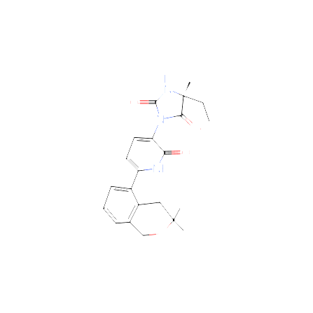 CC[C@@]1(C)NC(=O)N(c2ccc(-c3cccc4c3CC(C)(C)OC4)[nH]c2=O)C1=O